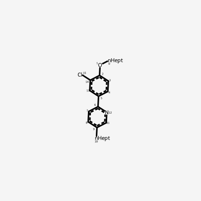 CCCCCCCOc1ccc(-c2ccc(CCCCCCC)cn2)cc1Cl